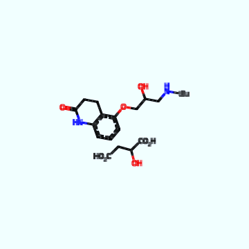 CC(C)(C)NCC(O)COc1cccc2c1CCC(=O)N2.O=C(O)CC(O)C(=O)O